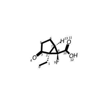 CC[C@]12C(=O)CC[C@H]1[C@]2(F)C(=O)O